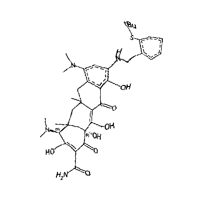 CN(C)c1cc(NCc2ccccc2SC(C)(C)C)c(O)c2c1CC1(C)CC3(C)[C@H](N(C)C)C(O)=C(C(N)=O)C(=O)[C@]3(O)C(O)=C1C2=O